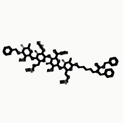 COC(=O)C1O[C@@H](O[C@@H]2C(COS(=O)(=O)O)O[C@H](OCCCCCN(Cc3ccccc3)C(=O)OCc3ccccc3)C(C)[C@H]2C)C(OC(C)=O)[C@@H](C)[C@@H]1O[C@H]1OC(COS(=O)(=O)O)[C@@H](O[C@@H]2OC(C)[C@@H](C)[C@@H](OCc3ccccc3)C2OC(C)=O)[C@H](C)C1N=[N+]=[N-]